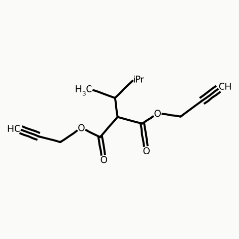 C#CCOC(=O)C(C(=O)OCC#C)C(C)C(C)C